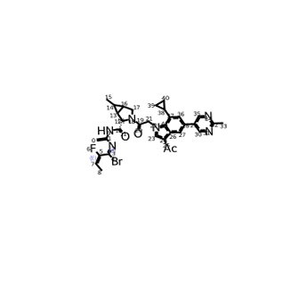 C=C(/N=C(Br)\C(F)=C/C)NC(=O)[C@@H]1C2C(C)C2CN1C(=O)Cn1cc(C(C)=O)c2cc(-c3cnc(C)nc3)cc(C3CC3)c21